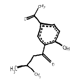 CC(=O)c1ccc(O)c(C(=O)CC(C)C)c1